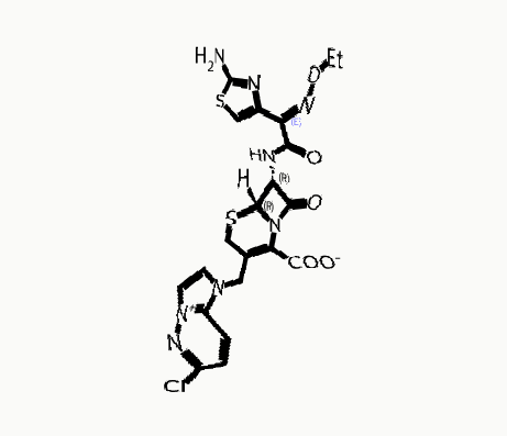 CCO/N=C(/C(=O)N[C@@H]1C(=O)N2C(C(=O)[O-])=C(Cn3cc[n+]4nc(Cl)ccc34)CS[C@H]12)c1csc(N)n1